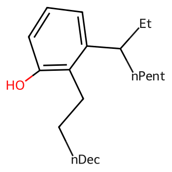 CCCCCCCCCCCCc1c(O)cccc1C(CC)CCCCC